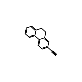 C#Cc1ccc2c(c1)CCc1ccccc1-2